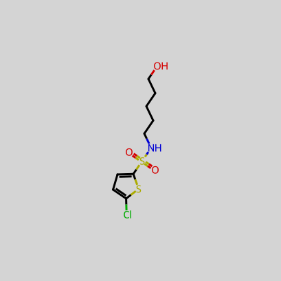 O=S(=O)(NCCCCCO)c1ccc(Cl)s1